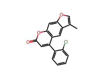 Cc1coc2cc3oc(=O)cc(-c4ccccc4Cl)c3cc12